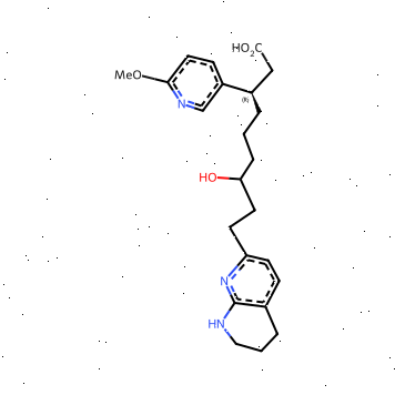 COc1ccc([C@H](CCCC(O)CCc2ccc3c(n2)NCCC3)CC(=O)O)cn1